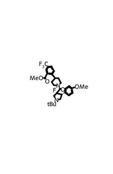 COC(=O)c1cc(C(F)(F)F)ccc1C1CCN(C(=O)[C@]2(F)CN(C(C)(C)C)C[C@H]2c2ccc(OC)cc2)CC1